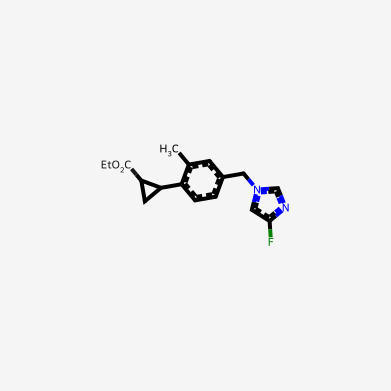 CCOC(=O)C1CC1c1ccc(Cn2cnc(F)c2)cc1C